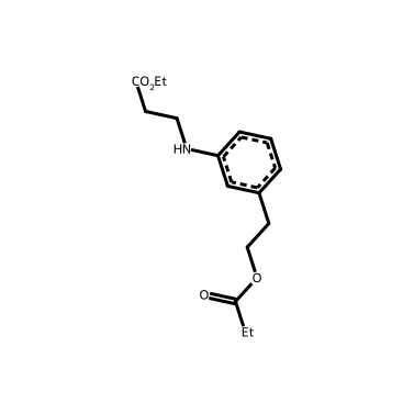 CCOC(=O)CCNc1cccc(CCOC(=O)CC)c1